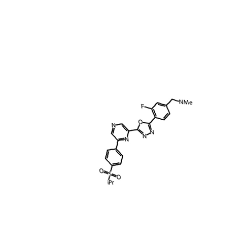 CNCc1ccc(-c2nnc(-c3cncc(-c4ccc(S(=O)(=O)C(C)C)cc4)n3)o2)c(F)c1